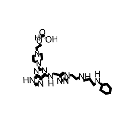 O=[PH](O)OCCN1CCN(c2nc(NCc3cn(CCNCCCNC4CCCCC4)nn3)c3nc[nH]c3n2)CC1